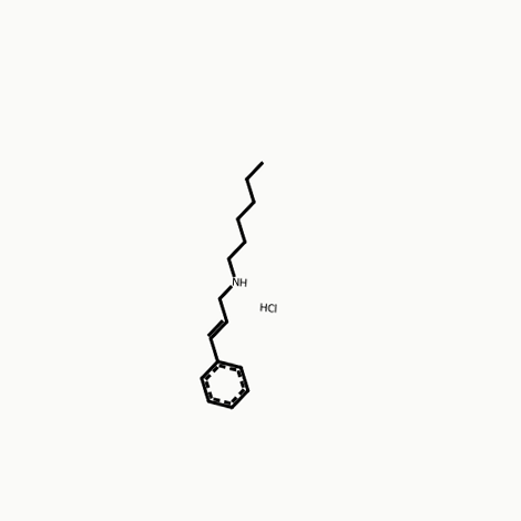 CCCCCCNCC=Cc1ccccc1.Cl